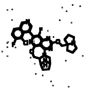 Fc1ccc2cncc(-c3nc4c5c(nc(OCC67CCCN6CCC7)nc5c3F)N3CC5CCC(N5)C3CO4)c2c1Cl